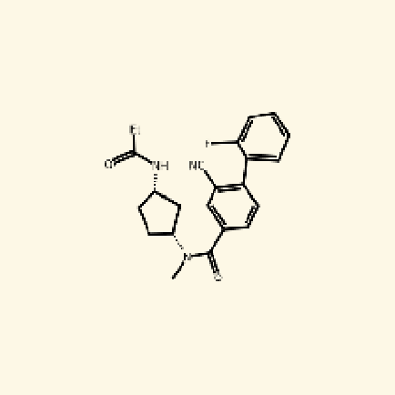 CCC(=O)N[C@H]1CC[C@@H](N(C)C(=O)c2ccc(-c3ccccc3F)c(C#N)c2)C1